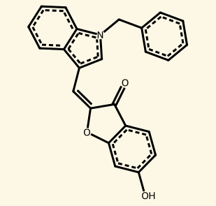 O=C1C(=Cc2cn(Cc3ccccc3)c3ccccc23)Oc2cc(O)ccc21